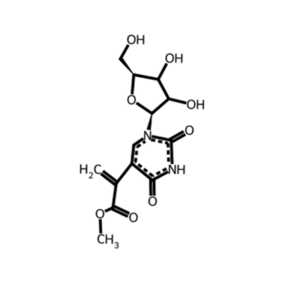 C=C(C(=O)OC)c1cn([C@H]2O[C@@H](CO)C(O)C2O)c(=O)[nH]c1=O